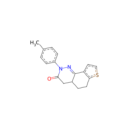 Cc1ccc(N2N=C3c4ccsc4CCC3CC2=O)cc1